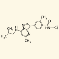 Cc1cc(NCC(C)C)n2ncc(-c3ccc(C(=O)NC4CC4)c(C)c3)c2n1